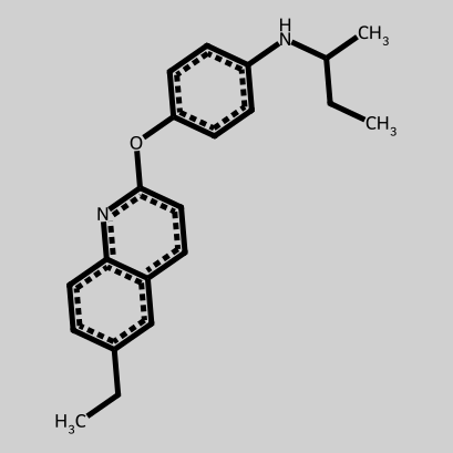 CCc1ccc2nc(Oc3ccc(NC(C)CC)cc3)ccc2c1